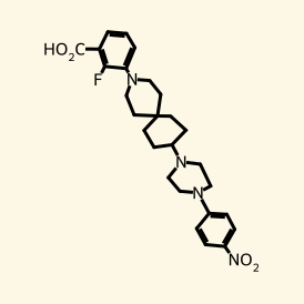 O=C(O)c1cccc(N2CCC3(CCC(N4CCN(c5ccc([N+](=O)[O-])cc5)CC4)CC3)CC2)c1F